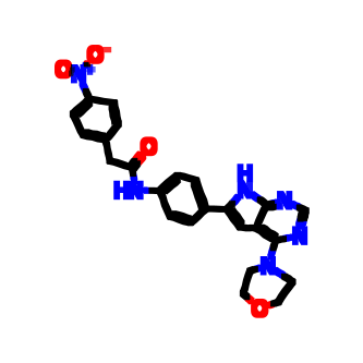 O=C(Cc1ccc([N+](=O)[O-])cc1)Nc1ccc(-c2cc3c(N4CCOCC4)ncnc3[nH]2)cc1